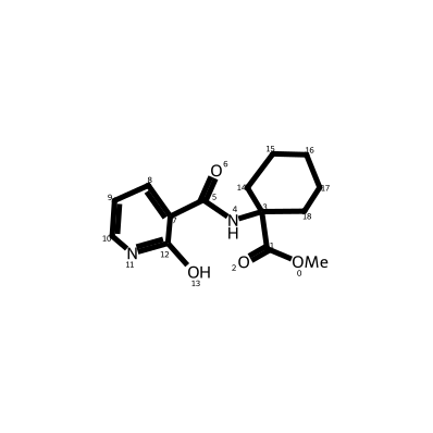 COC(=O)C1(NC(=O)c2cccnc2O)CCCCC1